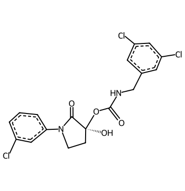 O=C(NCc1cc(Cl)cc(Cl)c1)O[C@@]1(O)CCN(c2cccc(Cl)c2)C1=O